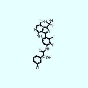 [2H]C([2H])([2H])c1nc(-c2ccc(NC(=O)[C@H](O)c3cccc(Cl)c3)c(F)c2F)c2c(N)ncc(Cl)n12